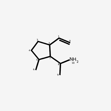 C=CC1CCC(C)C1C(C)N